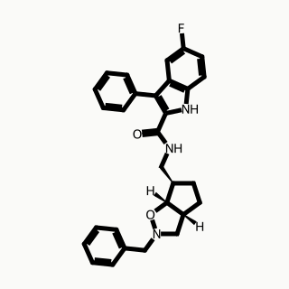 O=C(NC[C@H]1CC[C@@H]2CN(Cc3ccccc3)O[C@H]12)c1[nH]c2ccc(F)cc2c1-c1ccccc1